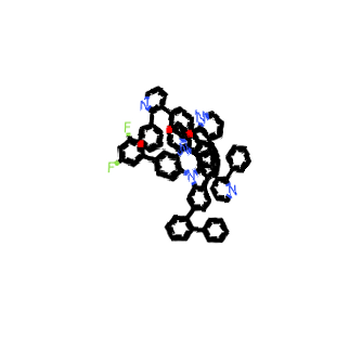 Fc1cc(F)cc(-c2ccc(-n3c4cc(-c5ccccc5-c5ccccc5)ccc4c4ccc(-c5cccnc5-c5ccccc5)cc43)c(-n3c4cc(-c5cccnc5-c5ccccc5)ccc4c4ccc(-c5cccnc5-c5ccccc5)cc43)c2)c1